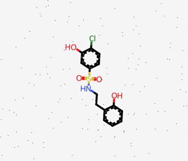 O=S(=O)(NCCc1ccccc1O)c1ccc(Cl)c(O)c1